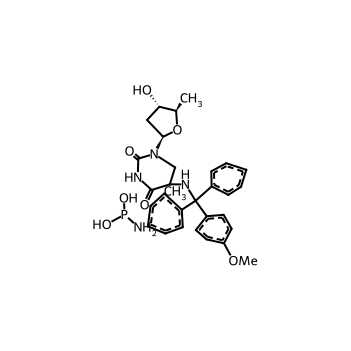 COc1ccc(C(NC2(C)CN([C@H]3C[C@H](O)[C@@H](C)O3)C(=O)NC2=O)(c2ccccc2)c2ccccc2)cc1.NP(O)O